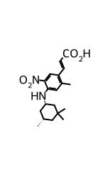 Cc1cc(N[C@H]2C[C@@H](C)CC(C)(C)C2)c([N+](=O)[O-])cc1/C=C/C(=O)O